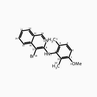 COc1ccc(C)c(Nc2ncc3ccccc3c2Br)c1C